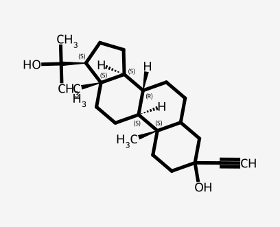 C#CC1(O)CC[C@@]2(C)C(CC[C@H]3[C@@H]4CC[C@H](C(C)(C)O)[C@@]4(C)CC[C@@H]32)C1